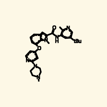 Cc1ncc(C(C)(C)C)cc1NC(=O)c1cc2cccc(Oc3ccnc(N4CCN(C)CC4)c3)c2n1C